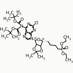 CCOP(=O)(CCCC[C@H]1O[C@@H](n2cnc3c(N(C(=O)OC(C)(C)C)C(=O)OC(C)(C)C)nc(Cl)nc32)C2OC(C)(C)OC21)OCC